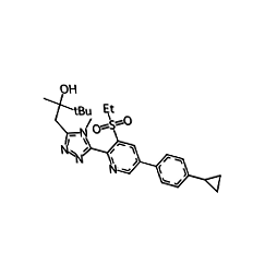 CCS(=O)(=O)c1cc(-c2ccc(C3CC3)cc2)cnc1-c1nnc(CC(C)(O)C(C)(C)C)n1C